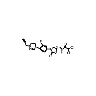 C#CCN1CCN(c2ccc(N3C[C@H](CNC(=O)C(Cl)Cl)OC3=O)cc2F)C=N1